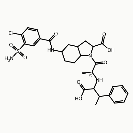 CC(c1ccccc1)C(N[C@@H](C)C(=O)N1C(C(=O)O)CC2CC(NC(=O)c3ccc(Cl)c(S(N)(=O)=O)c3)CCC21)C(=O)O